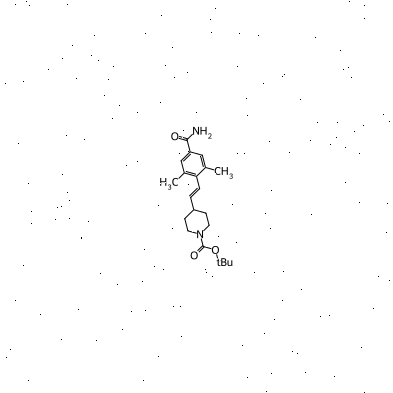 Cc1cc(C(N)=O)cc(C)c1C=CC1CCN(C(=O)OC(C)(C)C)CC1